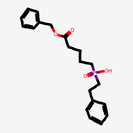 O=C(CCCCP(=O)(O)CCc1ccccc1)OCc1ccccc1